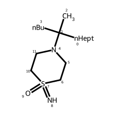 CCCCCCCC(C)(CCCC)N1CCS(=N)(=O)CC1